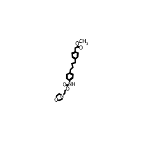 COC(=O)Cc1ccc(CCCCc2ccc(NC(=O)OCCN3CCOCC3)cc2)cc1